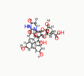 COc1ccc(C(c2ccccc2)(c2ccc(OC)cc2)C(O)[C@H]2O[C@@H](n3cc(C)c(=O)[nH]c3=O)[C@H](Oc3ccccc3OC)[C@@H]2OC(=O)CCC(=O)O)cc1